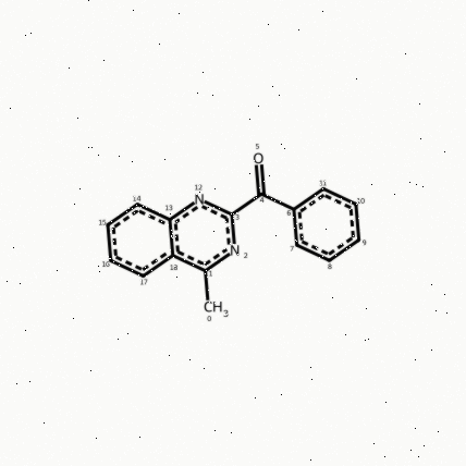 Cc1nc(C(=O)c2ccccc2)nc2ccccc12